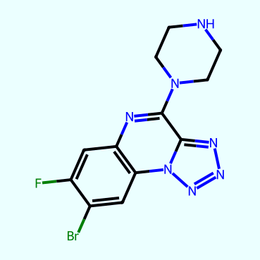 Fc1cc2nc(N3CCNCC3)c3nnnn3c2cc1Br